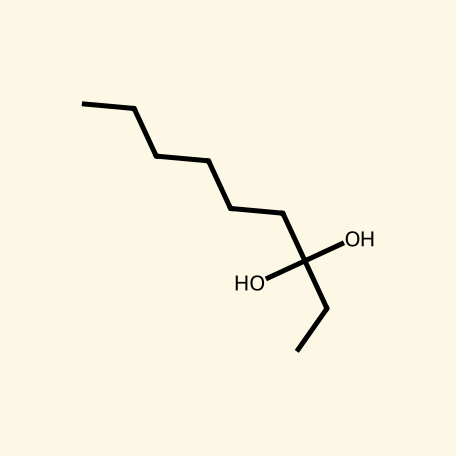 CCCCCCC(O)(O)CC